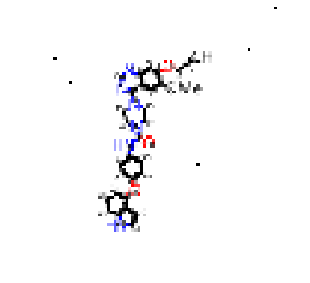 C#CCOc1cc2ncnc(N3CCN(C(=O)Nc4ccc(Oc5cccc6[nH]ccc56)cc4)CC3)c2cc1OC